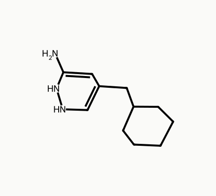 NC1=CC(CC2CCCCC2)=CNN1